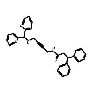 O=C(CC(c1ccccc1)c1ccccc1)NCC#CCNC(c1ccccn1)c1ccccn1